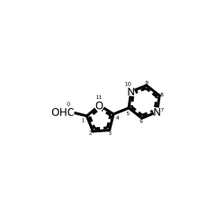 O=Cc1ccc(-c2cnccn2)o1